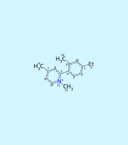 CCc1ccc(-c2cc(C)cc[n+]2C)c(C)c1